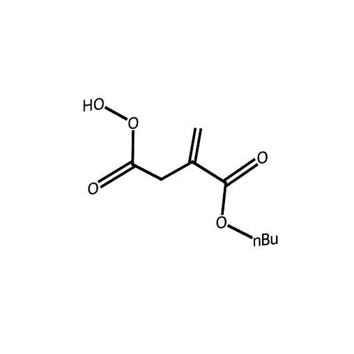 C=C(CC(=O)OO)C(=O)OCCCC